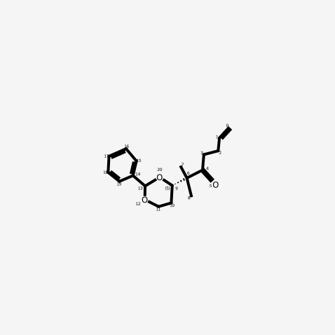 C=CCCC(=O)C(C)(C)[C@@H]1CCOC(c2ccccc2)O1